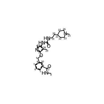 CNC(=O)c1cccc(COc2nsc(NC(=O)NCCC3CCN(C)CC3)c2C)c1